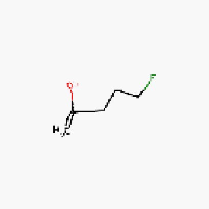 C=C(O)CCCF